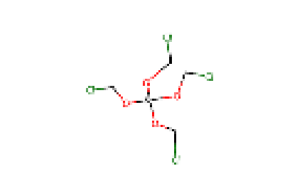 ClCO[Si](OCCl)(OCCl)OCCl